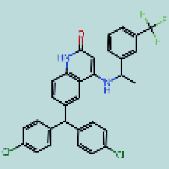 CC(Nc1cc(=O)[nH]c2ccc(C(c3ccc(Cl)cc3)c3ccc(Cl)cc3)cc12)c1cccc(C(F)(F)F)c1